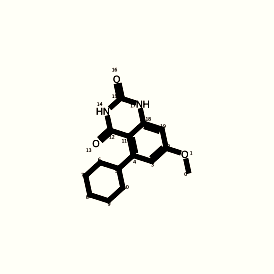 COc1cc(C2CCCCC2)c2c(=O)[nH]c(=O)[nH]c2c1